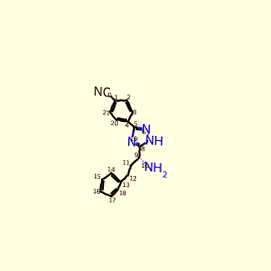 N#Cc1ccc(-c2n[nH]c([C@H](N)CCc3ccccc3)n2)cc1